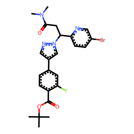 CN(C)C(=O)CC(c1ccc(Br)cn1)n1cc(-c2ccc(C(=O)OC(C)(C)C)c(F)c2)cn1